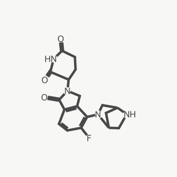 O=C1CCC(N2Cc3c(ccc(F)c3N3CC4CC3CN4)C2=O)C(=O)N1